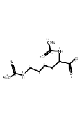 CCC(=O)C(CCCCNC(=O)OC)NC(=O)OC